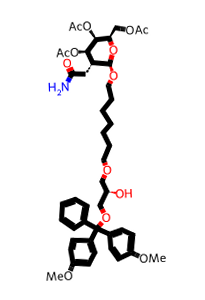 COc1ccc(C(OC[C@@H](O)COCCCCCCCO[C@@H]2O[C@H](COC(C)=O)[C@H](OC(C)=O)[C@H](OC(C)=O)[C@H]2CC(N)=O)(c2ccccc2)c2ccc(OC)cc2)cc1